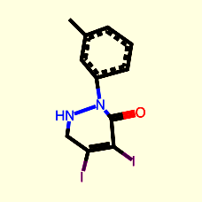 Cc1cccc(N2NCC(I)=C(I)C2=O)c1